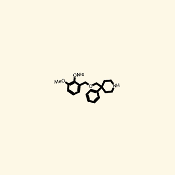 COc1cccc(COCC2(c3ccccc3)CCNCC2)c1OC